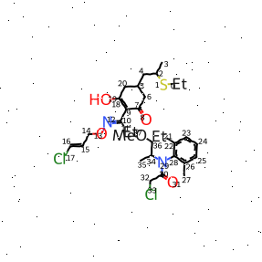 CCSC(C)CC1CC(=O)C(/C(CC)=N/OC/C=C/Cl)=C(O)C1.CCc1cccc(C)c1N(C(=O)CCl)C(C)COC